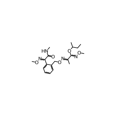 CCC(C)OC(=N\OC)/C(C)=N/OCc1ccccc1/C(=N\OC)C(=O)NC